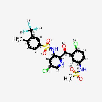 Cc1ccc(S(=O)(=O)Nc2cc(Cl)cnc2C(=O)c2cc(NS(C)(=O)=O)ccc2Cl)cc1C(F)(F)F